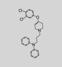 Clc1ccc(OC2=CCN(CCCN(c3ccccc3)c3ccccc3)CC2)cc1Cl